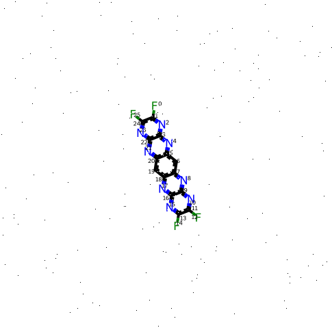 Fc1nc2nc3cc4nc5nc(F)c(F)nc5nc4cc3nc2nc1F